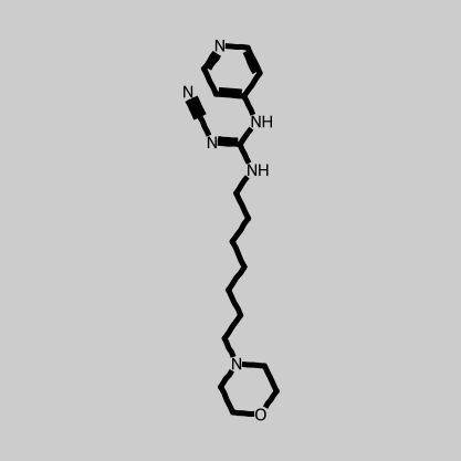 N#CN=C(NCCCCCCCN1CCOCC1)Nc1ccncc1